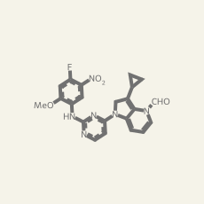 COc1cc(F)c([N+](=O)[O-])cc1Nc1nccc(N2CC(C3CC3)=C3C2=CC=CN3C=O)n1